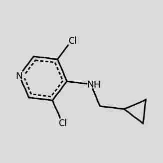 Clc1cncc(Cl)c1NCC1CC1